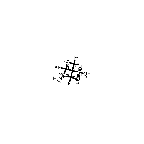 N.O=S(=O)(O)C(C(F)(F)F)(C(F)(F)F)C(F)(F)F